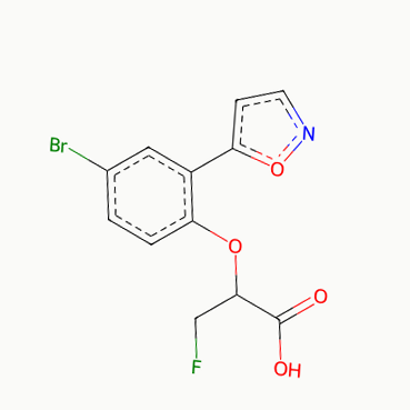 O=C(O)C(CF)Oc1ccc(Br)cc1-c1ccno1